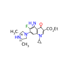 CCOC(=O)c1cn(C2CC2)c2cc(N3C[C@@H](C)N[C@@H](C)C3)c(F)c(N)c2c1=O